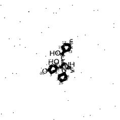 COc1ccc([C@@H]2[C@H](CC[C@H](O)c3ccc(F)cc3)NC(=S)N2c2ccccc2)c(O)c1